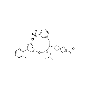 CC(=O)N1CC2(CC(C3Cc4cccc(c4)S(=O)(=O)Nc4nc(cc(-c5c(C)cccc5C)n4)OC[C@H]3CC(C)C)C2)C1